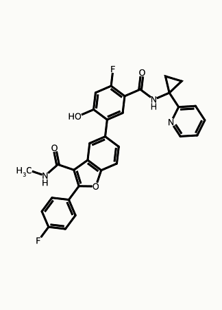 CNC(=O)c1c(-c2ccc(F)cc2)oc2ccc(-c3cc(C(=O)NC4(c5ccccn5)CC4)c(F)cc3O)cc12